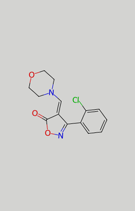 O=C1ON=C(c2ccccc2Cl)C1=CN1CCOCC1